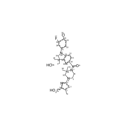 Cc1sc(N2CCN(C(=O)c3ccc4c(n3)C(C)(C)CN4c3ccc(Cl)c(F)c3)C(C)(C)C2)nc1C(=O)O.Cl